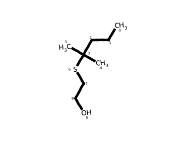 CCCC(C)(C)SCCO